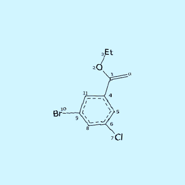 C=C(OCC)c1cc(Cl)cc(Br)c1